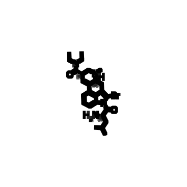 CCN(CC)C(=O)[C@@H]1C=C2c3cccc4c3c(c(Br)n4C(=O)[C@@H](N)CC(C)C)C[C@H]2N(C)C1